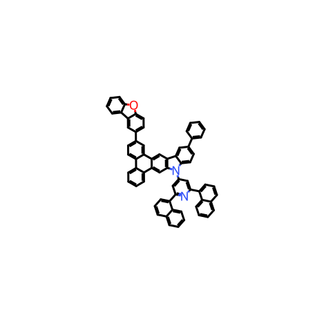 c1ccc(-c2ccc3c(c2)c2cc4c5cc(-c6ccc7oc8ccccc8c7c6)ccc5c5ccccc5c4cc2n3-c2cc(-c3cccc4ccccc34)nc(-c3cccc4ccccc34)c2)cc1